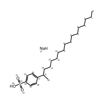 CCCCCCCCCCCCCCCC(C)c1ccc(S(=O)(=O)O)cc1.[NaH]